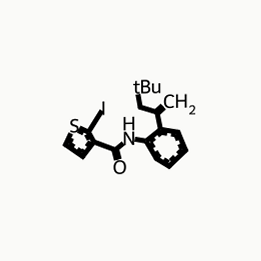 C=C(CC(C)(C)C)c1ccccc1NC(=O)c1ccsc1I